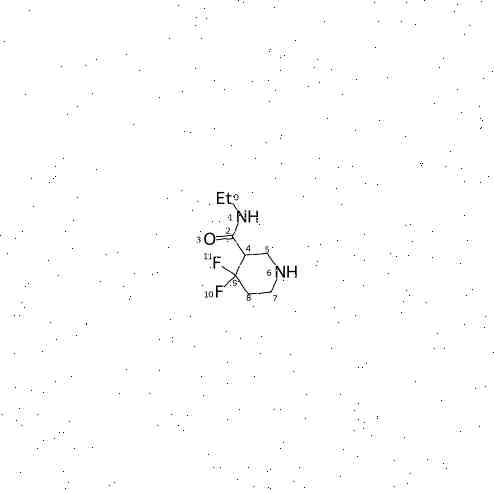 CCNC(=O)C1CNCCC1(F)F